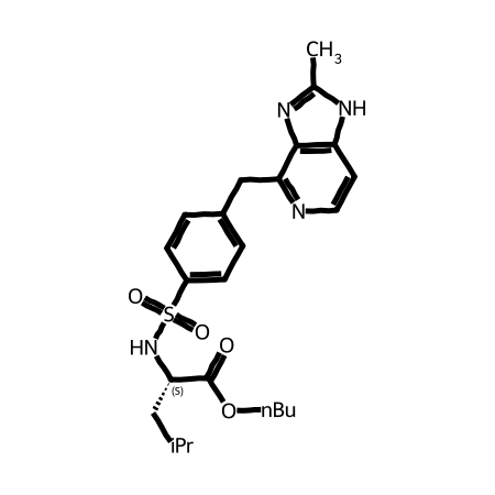 CCCCOC(=O)[C@H](CC(C)C)NS(=O)(=O)c1ccc(Cc2nccc3[nH]c(C)nc23)cc1